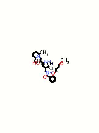 COCCCCOc1ccccc1C(=O)NC[C@@H](C[C@H](N)[C@@H](O)CN1[C@H](C)CCC[C@@H]1C)C(C)C